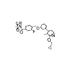 Cc1c(-c2cccc(OCc3ccc(C(=O)NS(C)(=O)=O)cc3F)c2)ccnc1OCC1CC1